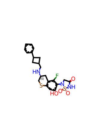 O=C1CN(c2c(O)cc3c(c2F)C[C@H](NCC2CC(c4ccccc4)C2)CS3)S(=O)(=O)N1